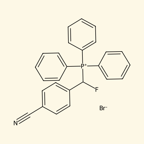 N#Cc1ccc(C(F)[P+](c2ccccc2)(c2ccccc2)c2ccccc2)cc1.[Br-]